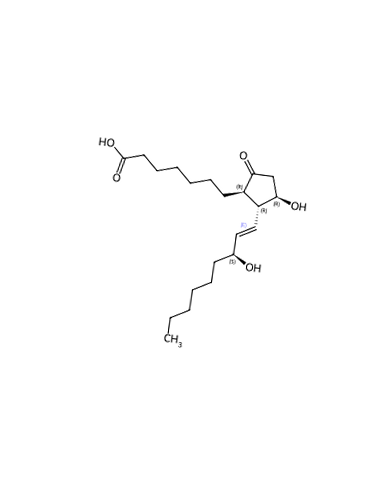 CCCCCC[C@H](O)/C=C/[C@H]1[C@H](O)CC(=O)[C@@H]1CCCCCCC(=O)O